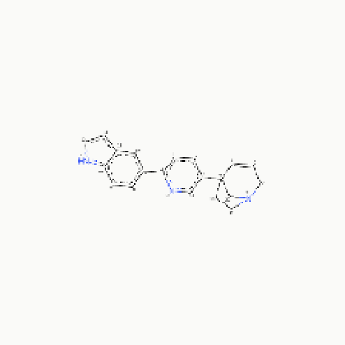 C1=CC2(c3ccc(-c4ccc5[nH]ccc5c4)nc3)CCN(C1)C2